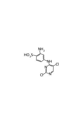 Nc1cc(Nc2nc(Cl)ncc2Cl)ccc1S(=O)(=O)O